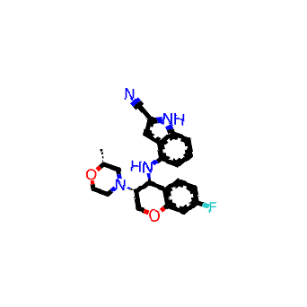 C[C@@H]1CN([C@H]2COc3cc(F)ccc3[C@@H]2Nc2cccc3[nH]c(C#N)cc23)CCO1